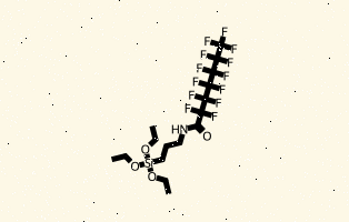 CCO[Si](CCCNC(=O)C(F)(F)C(F)(F)C(F)(F)C(F)(F)C(F)(F)C(F)(F)F)(OCC)OCC